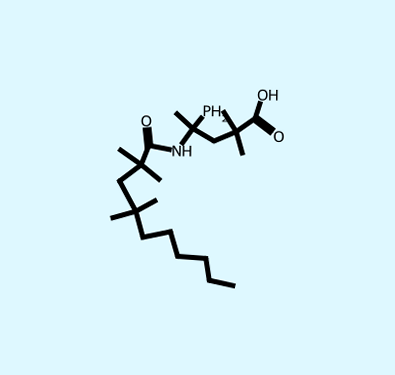 CCCCCCC(C)(C)CC(C)(C)C(=O)NC(C)(P)CC(C)(C)C(=O)O